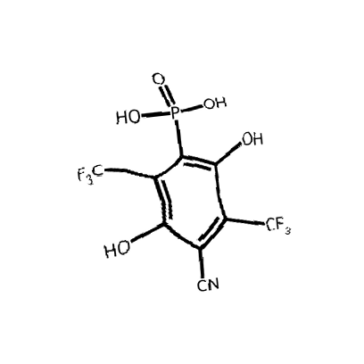 N#Cc1c(O)c(C(F)(F)F)c(P(=O)(O)O)c(O)c1C(F)(F)F